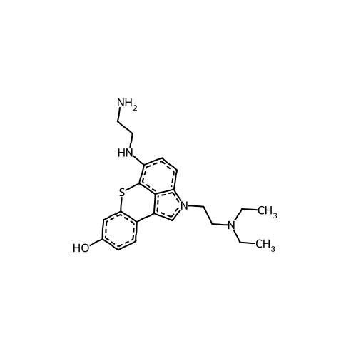 CCN(CC)CCn1cc2c3c(c(NCCN)ccc31)Sc1cc(O)ccc1-2